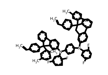 C=Cc1ccc(C2(c3cc(C)ccc3C)Cc3cc(N(c4ccc(N(c5ccc6c(c5)C(c5ccc(C=C)cc5)(c5cc(C)ccc5C)c5ccccc5-6)c5cc(F)ccc5F)cc4)c4cc(F)ccc4F)ccc3-c3ccccc32)cc1